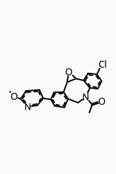 COc1ccc(-c2ccc3c(c2)C2OC2c2cc(Cl)ccc2N(C(C)=O)C3)cn1